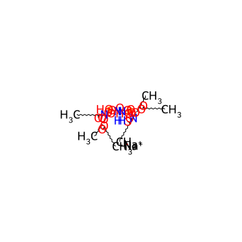 CCCCCCCCCCCC(=O)CC([O-])=NC(COCC[C@@H](CCCCCCC)OC(=O)CCCCCCCCCCC)COP(=O)(O)OCCNC(=O)NCCOP(=O)(O)OCC(COCC[C@@H](CCCCCCC)OC(=O)CCCCCCCCCCC)N=C([O-])CC(=O)CCCCCCCCCCC.[Na+].[Na+]